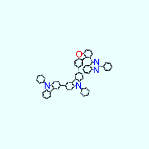 c1ccc(-c2nc(-c3cccc4oc5ccc(-c6ccc7c(c6)c6cc(-c8ccc9c(c8)c8ccccc8n9-c8ccccc8)ccc6n7-c6ccccc6)cc5c34)c3ccccc3n2)cc1